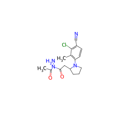 CC(=O)N(N)C(=O)CC1CCCN1c1ccc(C#N)c(Cl)c1C